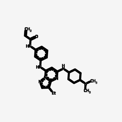 C=CC(=O)Nc1cccc(Nc2cc(NC3CCC(N(C)C)CC3)nc3c(CC)cnn23)c1